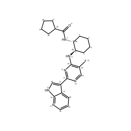 O=C(N[C@@H]1CCCC[C@H]1Nc1nc(-c2c[nH]c3ncccc23)ncc1F)C1CCCC1